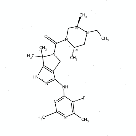 CCN1C[C@H](C)N(C(=O)N2Cc3c(Nc4nc(C)nc(C)c4F)n[nH]c3C2(C)C)C[C@H]1C